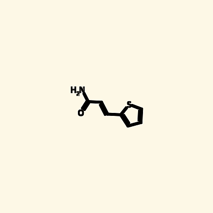 NC(=O)C=Cc1cccs1